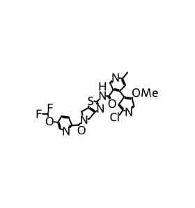 COc1cnc(Cl)cc1-c1cc(C)ncc1C(=O)Nc1nc2c(s1)CN(C(=O)c1ccc(OC(F)F)cn1)C2